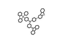 c1ccc(C2(c3ccc(N(c4ccc(-c5ccc6sc7ccccc7c6c5)cc4)c4cccc(-n5c6ccccc6c6ccccc65)c4)cc3)c3ccccc3-c3ccccc32)cc1